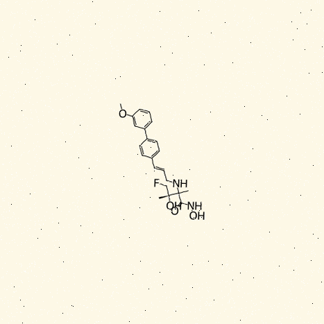 COc1cccc(-c2ccc(/C=C/CNC(C)(C(=O)NO)[C@](C)(O)CF)cc2)c1